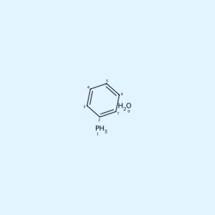 O.P.c1ccccc1